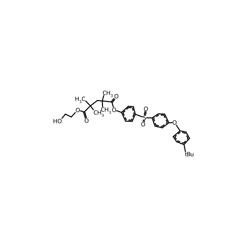 CC(C)(CC(C)(C)C(=O)Oc1ccc(S(=O)(=O)c2ccc(Oc3ccc(C(C)(C)C)cc3)cc2)cc1)C(=O)OCCO